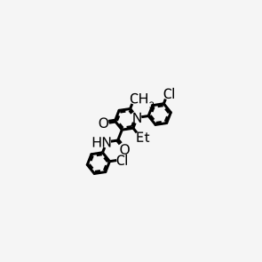 CCc1c(C(=O)Nc2ccccc2Cl)c(=O)cc(C)n1-c1cccc(Cl)c1